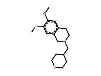 COc1cc2c(cc1OC)CN(CC1CCOCC1)CC2